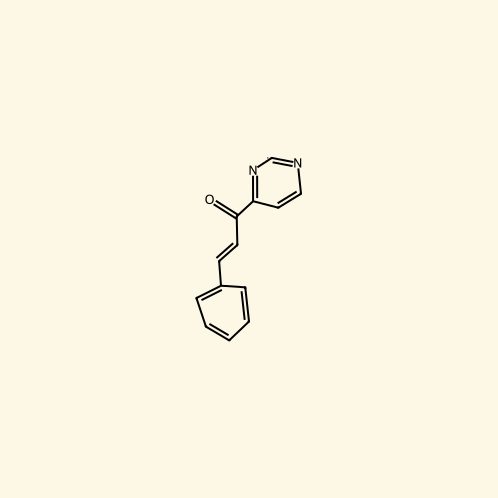 O=C(C=Cc1ccccc1)c1ccn[c]n1